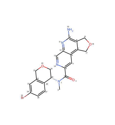 CN(C(=O)c1cc2c3c(c(N)nc2cn1)COC3)[C@H]1COCc2cc(Br)ccc21